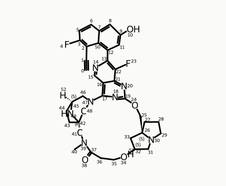 C#Cc1c(F)ccc2cc(O)cc(-c3ncc4c5nc(nc4c3F)OC[C@@]34CCCN3C[C@H](C4)OCCC(=O)N(C)C[C@@]34CC[C@@H](CN5C3)N4)c12